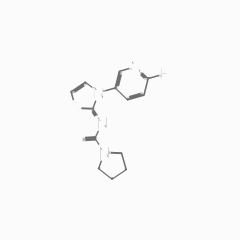 O=C(N=c1sccn1-c1ccc(F)nc1)N1CCCC1